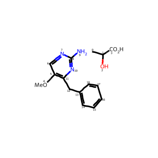 CC(O)C(=O)O.COc1cnc(N)nc1Cc1ccccc1